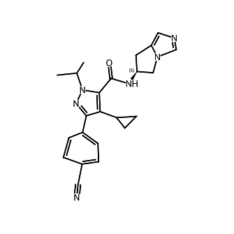 CC(C)n1nc(-c2ccc(C#N)cc2)c(C2CC2)c1C(=O)N[C@H]1Cc2cncn2C1